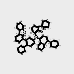 c1ccc(-c2ccc(N(c3ccc(-c4ccccc4)c4ccccc34)c3cccc4c3sc3ccccc34)cc2-c2cccc3c2oc2ccccc23)cc1